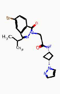 CC(C)c1nn(CC(=O)N[C@H]2C[C@@H](n3cccn3)C2)c(=O)c2ccc(Br)cc12